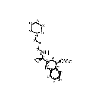 COc1cc(C(=O)NCCCN2CCCCC2)nc2ccccc12